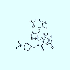 CC(=O)OCc1nnn(C[C@@]2(C)[C@H](C(=O)OCc3ccc([N+](=O)[O-])cc3)N3C(=O)C[C@H]3S2(=O)=O)c1COC(C)=O